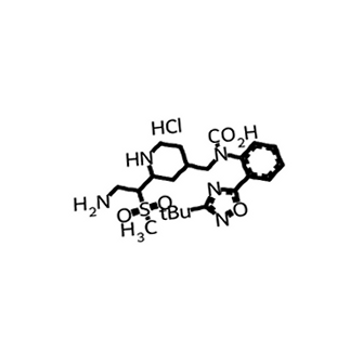 CC(C)(C)c1noc(-c2ccccc2N(CC2CCNC(C(CN)S(C)(=O)=O)C2)C(=O)O)n1.Cl